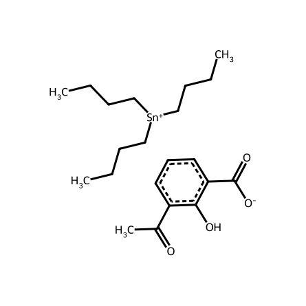 CC(=O)c1cccc(C(=O)[O-])c1O.CCC[CH2][Sn+]([CH2]CCC)[CH2]CCC